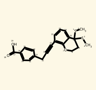 CSC1(SC)CCOc2c(C#CCc3ccc(C(=O)O)cc3)cccc21